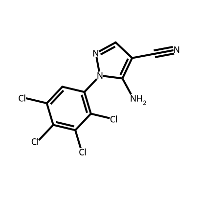 N#Cc1cnn(-c2cc(Cl)c(Cl)c(Cl)c2Cl)c1N